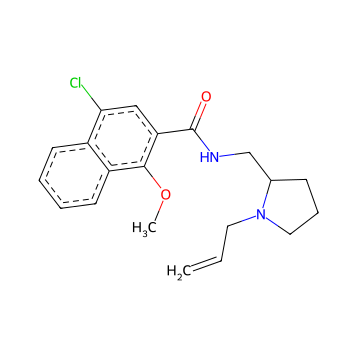 C=CCN1CCCC1CNC(=O)c1cc(Cl)c2ccccc2c1OC